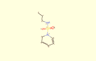 CCCNS(=O)(=O)N1C=CC=CC1